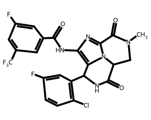 CN1CC2C(=O)NC(c3cc(F)ccc3Cl)c3c(NC(=O)c4cc(F)cc(C(F)(F)F)c4)nc(n32)C1=O